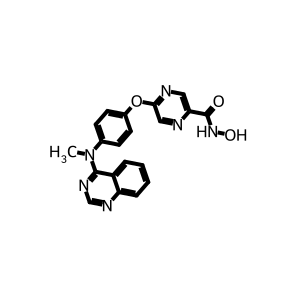 CN(c1ccc(Oc2cnc(C(=O)NO)cn2)cc1)c1ncnc2ccccc12